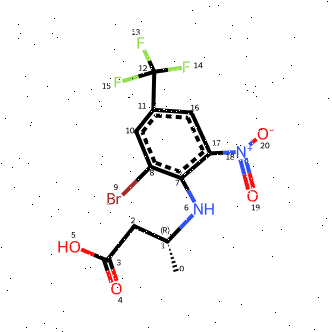 C[C@H](CC(=O)O)Nc1c(Br)cc(C(F)(F)F)cc1[N+](=O)[O-]